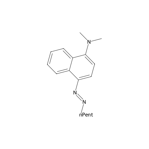 CCCCC/N=N/c1ccc(N(C)C)c2ccccc12